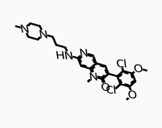 COc1cc(OC)c(Cl)c(-c2cc3cnc(NCCCN4CCN(C)CC4)cc3n(C)c2=O)c1Cl